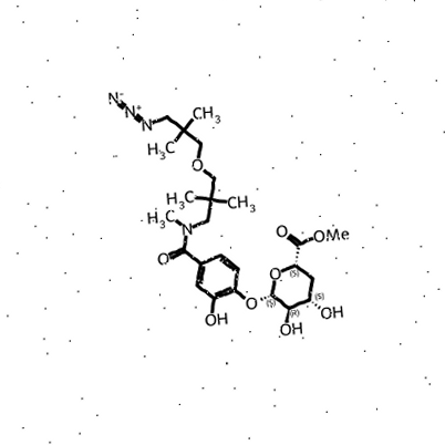 COC(=O)[C@@H]1C[C@H](O)[C@@H](O)[C@H](Oc2ccc(C(=O)N(C)CC(C)(C)COCC(C)(C)CN=[N+]=[N-])cc2O)O1